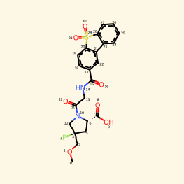 COC[C@@]1(F)C[C@@H](C(=O)O)N(C(=O)CNC(=O)c2ccc3c(c2)-c2ccccc2S3(=O)=O)C1